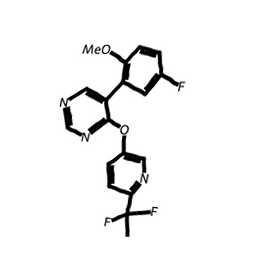 COc1ccc(F)cc1-c1cncnc1Oc1ccc(C(C)(F)F)nc1